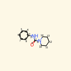 O=C(Nc1ccccc1)N1[CH]CCCC1